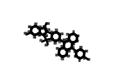 Cc1ccc(-c2c3ccccc3c(-c3ccc4c(c3)C(C)(C)c3c-4n(C)c4ccc(C)cc34)c3ccccc23)cc1